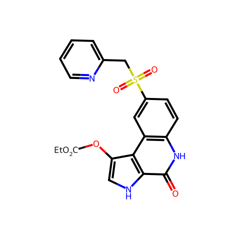 CCOC(=O)Oc1c[nH]c2c(=O)[nH]c3ccc(S(=O)(=O)Cc4ccccn4)cc3c12